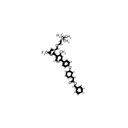 CC1CC(c2ccc(O[C@@H]3CCCC(CC(=O)OCc4ccccc4)C3)cc2)=NC=C1c1nc(C(F)(F)F)cn1COCC[Si](C)(C)C